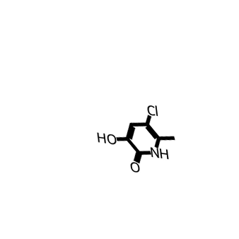 Cc1[nH]c(=O)c(O)cc1Cl